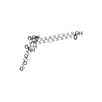 O=CCOCCOCCNC(=O)CCC(NC(=O)CCCCCCCCCCCCCCCCC(=O)O)C(=O)O